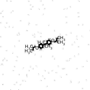 CCC(C)COc1ccc(C(C)(C)c2ccc(OCC(C)CC)cc2)cc1